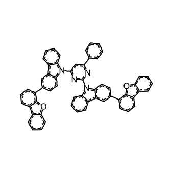 c1ccc(-c2cc(-n3c4ccccc4c4cc(-c5cccc6c5oc5ccccc56)ccc43)nc(-n3c4ccccc4c4cc(-c5cccc6c5oc5ccccc56)ccc43)n2)cc1